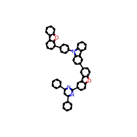 c1ccc(-c2cc(-c3ccccc3)nc(-c3ccc4oc5ccc(-c6ccc7c(c6)c6ccccc6n7-c6ccc(-c7cccc8c7oc7ccccc78)cc6)cc5c4c3)n2)cc1